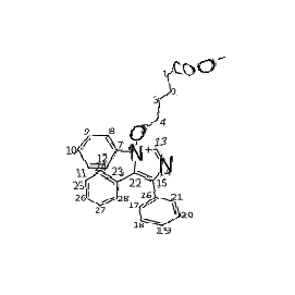 O=C([O-])CCCCO[N+]1(c2ccccc2)C=NC(c2ccccc2)=C1c1ccccc1